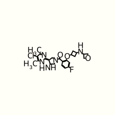 CC1=N/C(=C2\CN(C(=O)c3ccc(F)cc3OC3CC(NC4COC4)C3)CC2=N)NC(C)=C1Cl